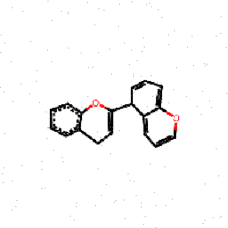 [c]1ccc2c(c1)CC=C(C1C=CC=C3OC=CC=C31)O2